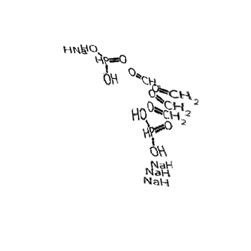 C=O.C=O.C=O.C=O.O=[PH](O)O.O=[PH](O)O.[NaH].[NaH].[NaH].[NaH]